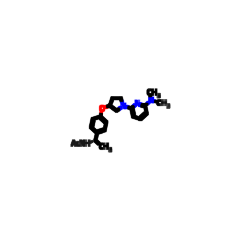 CC(=O)N[C@@H](C)c1ccc(OC2CCN(c3cccc(N(C)C)n3)C2)cc1